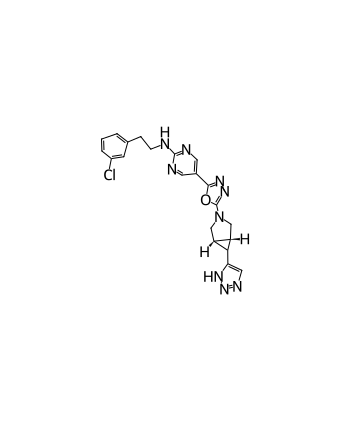 Clc1cccc(CCNc2ncc(-c3nnc(N4C[C@@H]5C(c6cnn[nH]6)[C@@H]5C4)o3)cn2)c1